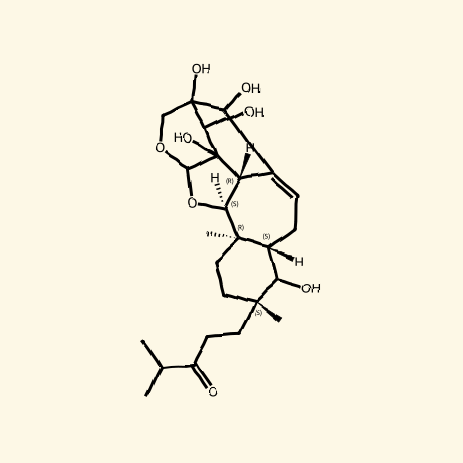 CC(C)C(=O)CC[C@]1(C)CC[C@]2(C)[C@H](CC=C3C(O)C4(O)COC5O[C@H]2[C@@H]3C5(O)C4O)C1O